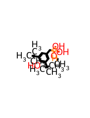 CCO[PH](O)(O)Cc1cc(C(C)(C)C)c(O)c(C(C)(C)C)c1